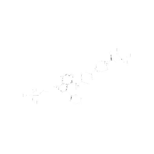 CC(C)(C)OC(=O)N1CCN(C2CCC(Nc3ncnc4c3c(C3=CCOCC3)cn4COCC[Si](C)(C)C)CC2)CC1